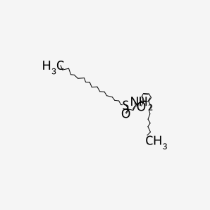 CCCCCCCCCCCCCCCCCCSC(=O)C=C(N)Oc1ccccc1CCCCCCCCC